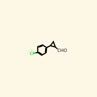 O=CC1CC1c1ccc(Cl)cc1